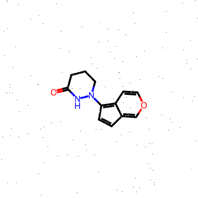 O=C1CCCN(c2ccc3coccc2-3)N1